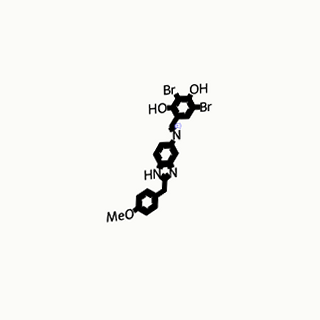 COc1ccc(Cc2nc3cc(/N=C/c4cc(Br)c(O)c(Br)c4O)ccc3[nH]2)cc1